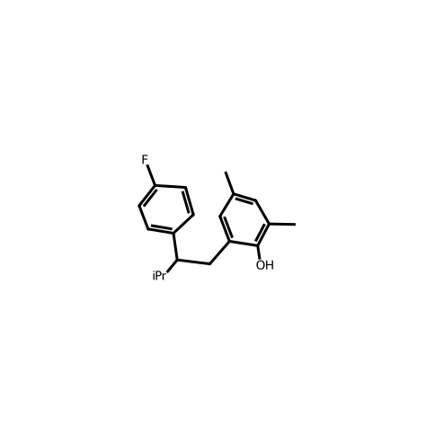 Cc1cc(C)c(O)c(CC(c2ccc(F)cc2)C(C)C)c1